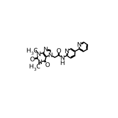 Cn1c(=O)c2c(ncn2CC(=O)Nc2ccc(-c3ccccn3)cn2)n(C)c1=O